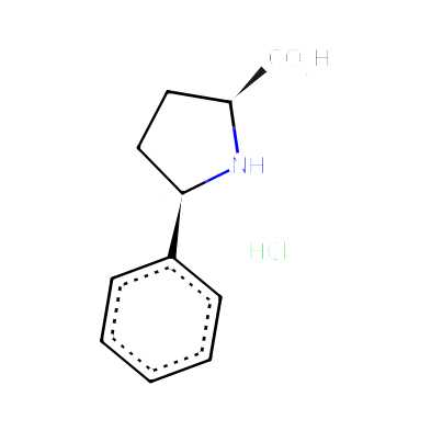 Cl.O=C(O)[C@@H]1CC[C@H](c2ccccc2)N1